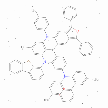 Cc1cc2c3c(c1)N(c1cccc4c1sc1ccccc14)c1cc(N(c4ccc(C(C)(C)C)cc4)c4ccc(C(C)(C)C)cc4-c4ccccc4)ccc1B3c1cc3c(-c4ccccc4)oc(-c4ccccc4)c3cc1N2c1ccc(C(C)(C)C)cc1